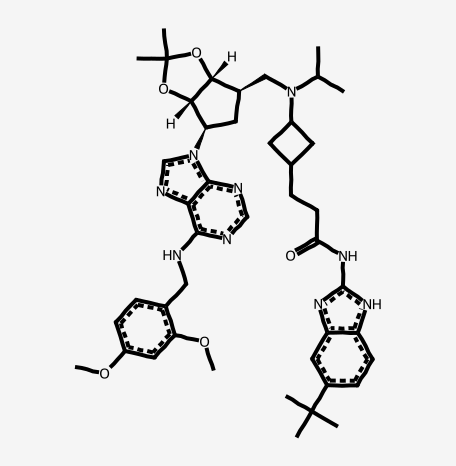 COc1ccc(CNc2ncnc3c2ncn3[C@@H]2C[C@H](CN(C(C)C)C3CC(CCC(=O)Nc4nc5cc(C(C)(C)C)ccc5[nH]4)C3)[C@H]3OC(C)(C)O[C@H]32)c(OC)c1